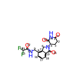 O=C1CCC(N2Cc3c(CNC(=O)C(F)F)cccc3C2=O)C(=O)N1